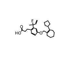 C=CC(C)(F)c1cc(OCC2=C(C3CCCC3)CCCCC2)ccc1CCC(=O)O